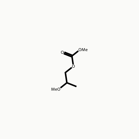 COC(=O)OCC(C)OC